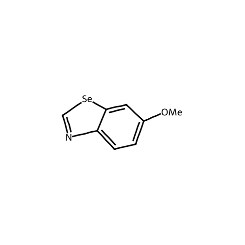 COc1ccc2nc[se]c2c1